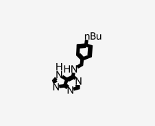 CCCCc1ccc(CNc2ncnc3nc[nH]c23)cc1